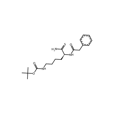 CC(C)(C)OC(=O)NCCCC[C@H](NC(=O)Cc1ccccc1)C(N)=S